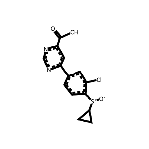 O=C(O)c1cc(-c2ccc([S+]([O-])C3CC3)c(Cl)c2)ncn1